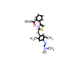 CCN(C)C=Nc1cc(C)c(Cc2nc(-c3ccccc3C(=O)NC)cs2)cc1C